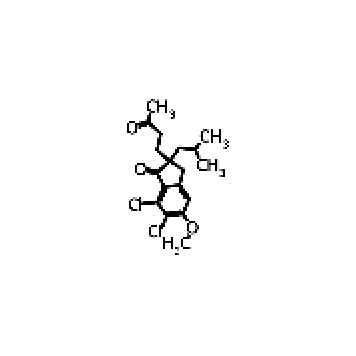 COc1cc2c(c(Cl)c1Cl)C(=O)C(CCC(C)=O)(CC(C)C)C2